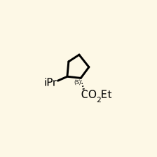 CCOC(=O)[C@H]1CCCC1C(C)C